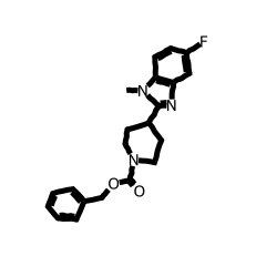 Cn1c(C2CCN(C(=O)OCc3ccccc3)CC2)nc2cc(F)ccc21